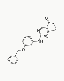 O=C1CCCc2nc(Nc3cccc(OCc4ccccc4)c3)ncc21